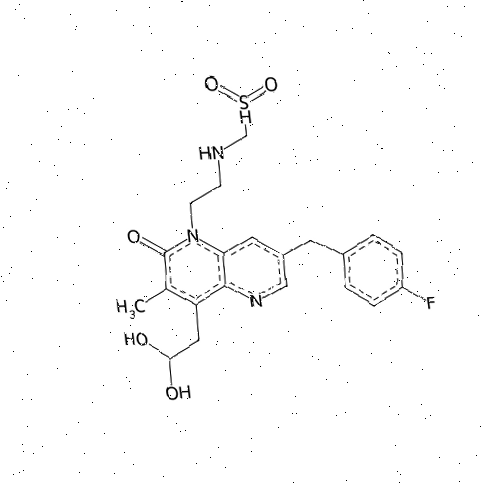 Cc1c(CC(O)O)c2ncc(Cc3ccc(F)cc3)cc2n(CCNC[SH](=O)=O)c1=O